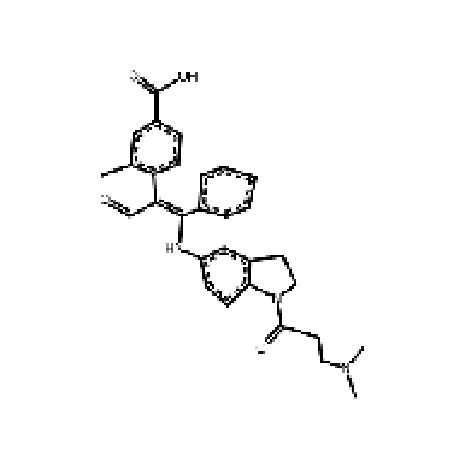 Cc1cc(C(=O)O)ccc1/C(C=O)=C(/Nc1ccc2c(c1)CCN2C(=O)CCN(C)C)c1ccccc1